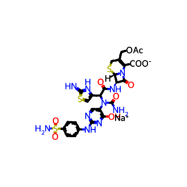 CC(=O)OCC1=C(C(=O)[O-])N2C(=O)[C@@H](NC(=O)C(c3csc(=N)[nH]3)N(C(N)=O)c3cnc(Nc4ccc(S(N)(=O)=O)cc4)nc3O)[C@@H]2SC1.[Na+]